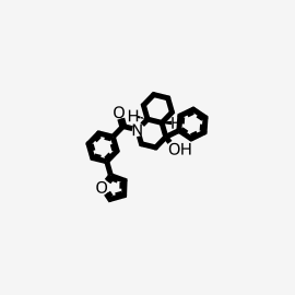 O=C(c1cccc(-c2ccco2)c1)N1CCC(O)(c2ccccc2)[C@H]2CCCC[C@@H]21